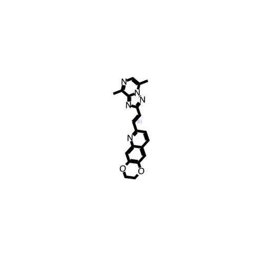 Cc1ncc(C)n2nc(/C=C/c3ccc4cc5c(cc4n3)OCCO5)nc12